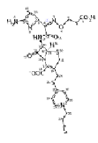 Nc1nc(/C(=N/OCCC(=O)O)C(=O)N[C@@H]2C(=O)N3C(C(=O)[O-])=C(CSc4cc[n+](CCF)cc4)CS[C@H]23)cs1